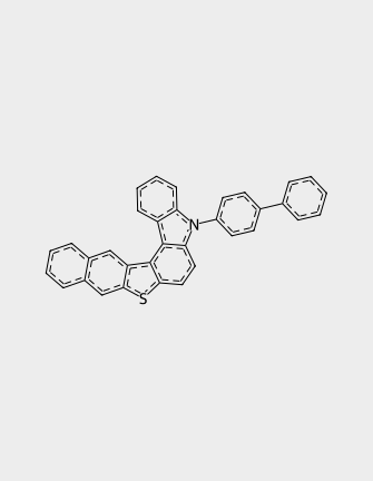 c1ccc(-c2ccc(-n3c4ccccc4c4c5c(ccc43)sc3cc4ccccc4cc35)cc2)cc1